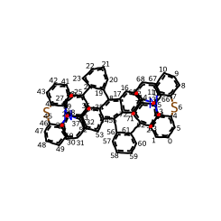 c1ccc2c(c1)Sc1ccccc1N2c1ccc2c(-c3ccccc3-c3ccc4ccccc4c3)c3cc(N4c5ccccc5Sc5ccccc54)ccc3c(-c3ccccc3-c3ccc4ccccc4c3)c2c1